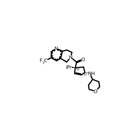 CC(C)[C@]1(C(=O)N2CCc3ncc(C(F)(F)F)cc3C2)C=C[C@@H](NC2CCOCC2)C1